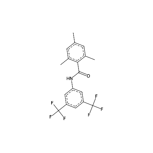 Cc1cc(C)c(C(=O)Nc2cc(C(F)(F)F)cc(C(F)(F)F)c2)c(C)c1